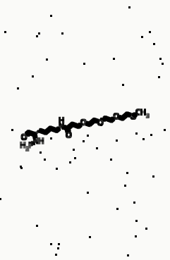 COCCOCCOCCOCCC(=O)NCCCC[C@@H](C=O)NP